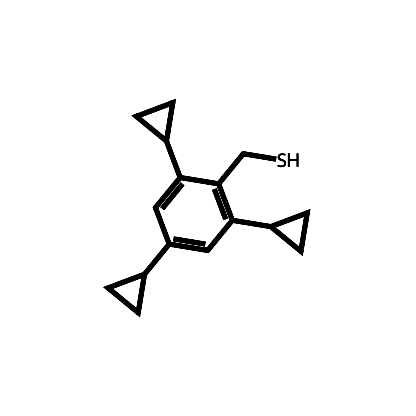 SCc1c(C2CC2)cc(C2CC2)cc1C1CC1